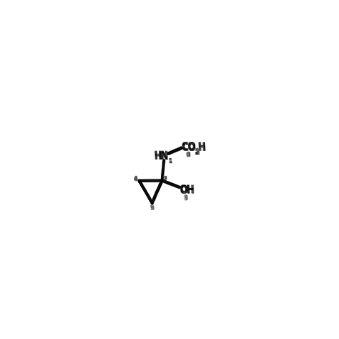 O=C(O)NC1(O)CC1